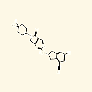 N#Cc1cc(Cl)cc2c1C[C@@H](Nc1ncc3c(n1)CN(C1CCC(F)(F)CC1)C3=O)C2